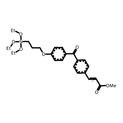 CCO[Si](CCCOc1ccc(C(=O)c2ccc(/C=C/C(=O)OC)cc2)cc1)(OCC)OCC